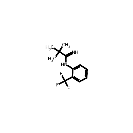 CC(C)(C)C(=N)Nc1ccccc1C(F)(F)F